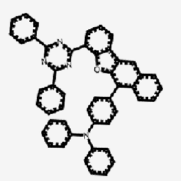 c1ccc(-c2nc(-c3ccccc3)nc(-c3cccc4c3oc3c(-c5ccc(N(c6ccccc6)c6ccccc6)cc5)c5ccccc5cc34)n2)cc1